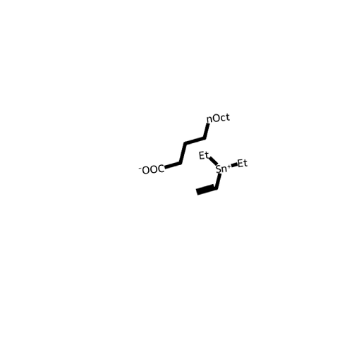 C=[CH][Sn+]([CH2]C)[CH2]C.CCCCCCCCCCCC(=O)[O-]